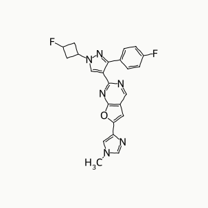 Cn1cnc(-c2cc3cnc(-c4cn(C5CC(F)C5)nc4-c4ccc(F)cc4)nc3o2)c1